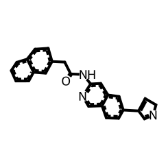 O=C(Cc1ccc2ccccc2c1)Nc1cc2cc(C3=CCN=C3)ccc2cn1